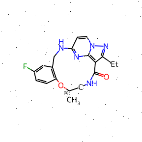 CCc1nn2ccc3nc2c1C(=O)NC[C@H](C)Oc1ccc(F)cc1CN3